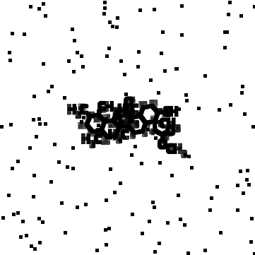 COC(=O)C[C@]1(C)C2CC[C@]3(C)C(C(=O)C=C4C5[C@@H](C)[C@H](C)CC[C@]5(C)CC[C@]43C)[C@@]2(C)CC[C@H]1S